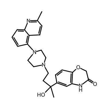 Cc1ccc2c(N3CCN(CCC(C)(O)c4ccc5c(c4)NC(=O)CO5)CC3)cccc2n1